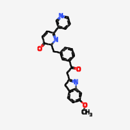 COc1ccc2c(c1)N=C(CC(=O)c1cccc(CC3N=C(c4cccnc4)C=CC3=O)c1)C2